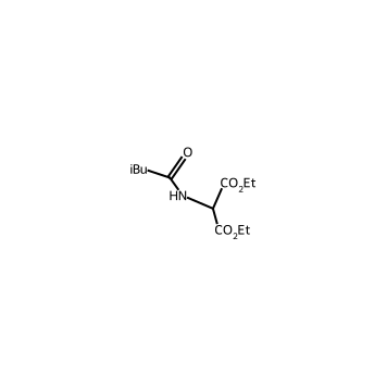 CCOC(=O)C(NC(=O)C(C)CC)C(=O)OCC